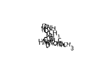 Cc1c(Nc2cc[nH]c(=O)c2C(=O)Nc2ccc(N3CCN(C)C[C@H]3C)cc2)cnc2c1NCCO2